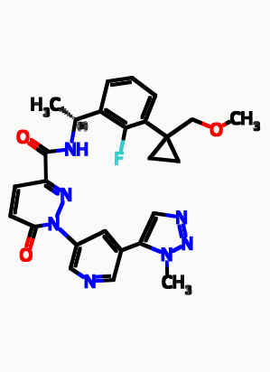 COCC1(c2cccc([C@@H](C)NC(=O)c3ccc(=O)n(-c4cncc(-c5cnnn5C)c4)n3)c2F)CC1